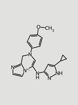 COc1ccc(N2C=C(Nc3cc(C4CC4)[nH]n3)[N+]3C=CN=C3C2)cc1